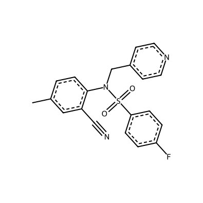 Cc1ccc(N(Cc2ccncc2)S(=O)(=O)c2ccc(F)cc2)c(C#N)c1